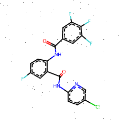 O=C(Nc1ccc(F)cc1C(=O)Nc1ccc(Cl)cn1)c1cc(F)c(F)c(F)c1